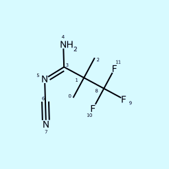 CC(C)(/C(N)=N\C#N)C(F)(F)F